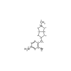 CN1CC2CC(Oc3ccc(N)cc3Br)CC2C1